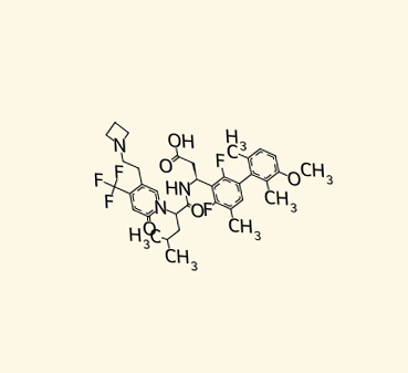 COc1ccc(C)c(-c2cc(C)c(F)c([C@H](CC(=O)O)NC(=O)C(CC(C)C)n3cc(CCN4CCC4)c(C(F)(F)F)cc3=O)c2F)c1C